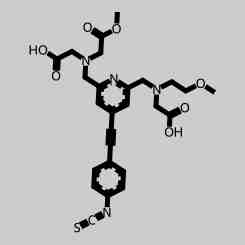 COCCN(CC(=O)O)Cc1cc(C#Cc2ccc(N=C=S)cc2)cc(CN(CC(=O)O)CC(=O)OC)n1